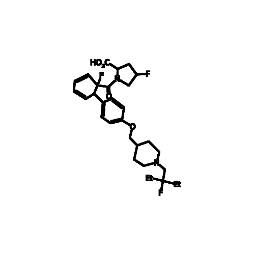 CCC(F)(CC)CN1CCC(COc2ccc(C3C=CC=CC3(F)C(=O)N3CC(F)CC3C(=O)O)cc2)CC1